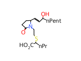 CCCCCC(O)C=CC1CCC(=O)N1CCSC(CCC)C(=O)O